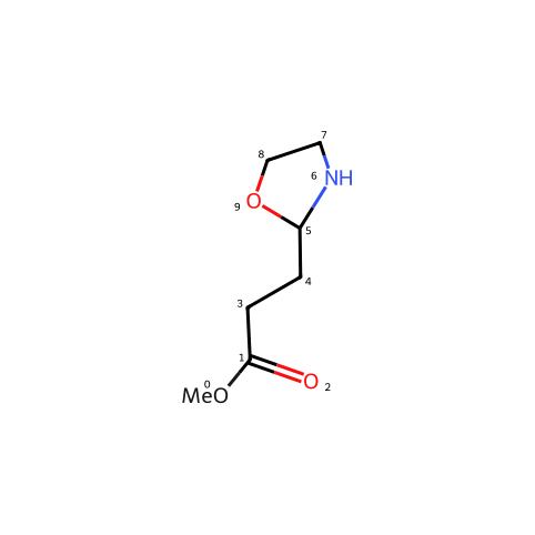 COC(=O)CCC1NCCO1